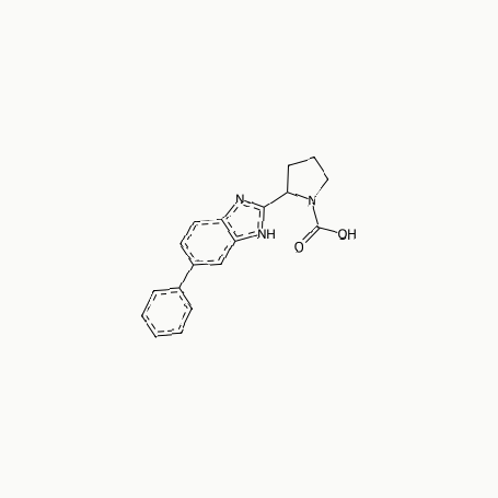 O=C(O)N1CCCC1c1nc2ccc(-c3ccccc3)cc2[nH]1